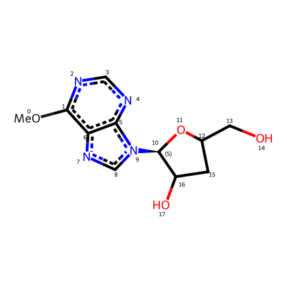 COc1ncnc2c1ncn2[C@H]1OC(CO)CC1O